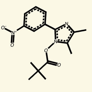 Cc1nc(-c2cccc([N+](=O)[O-])c2)n(OC(=O)C(C)(C)C)c1C